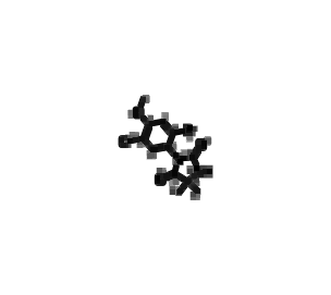 COc1cc(Br)c(N2C(=O)NC(C)(C)C2=O)cc1Cl